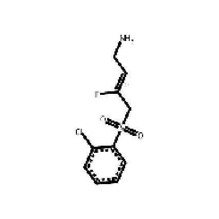 NC/C=C(\F)CS(=O)(=O)c1ccccc1Cl